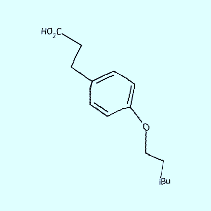 CCC(C)CCOc1ccc(CCC(=O)O)cc1